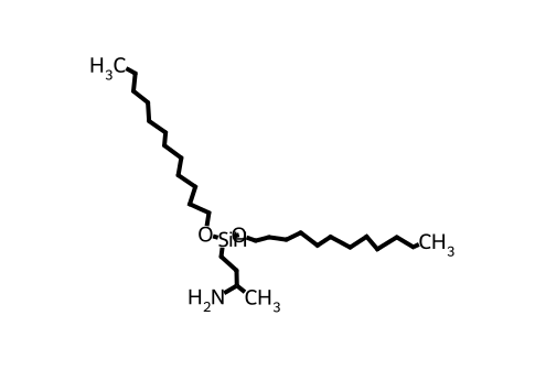 CCCCCCCCCCCCO[SiH](CCC(C)N)OCCCCCCCCCCCC